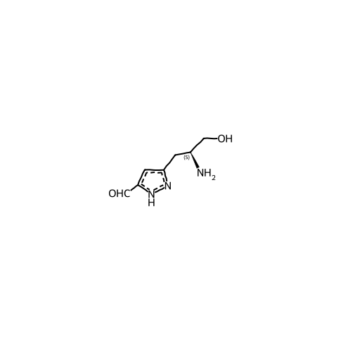 N[C@H](CO)Cc1cc(C=O)[nH]n1